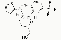 OCC1CC[C@@H]2[C@H](O1)c1cc(C(F)(F)F)ccc1N[C@H]2c1cccs1